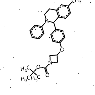 Cc1ccc2c(c1)CCN(c1ccccc1)C2c1ccc(OC2CN(C(=O)OC(C)(C)C)C2)cc1